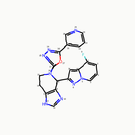 Fc1cccn2nc(C3c4nc[nH]c4CCN3c3nnc(-c4cccnc4)o3)cc12